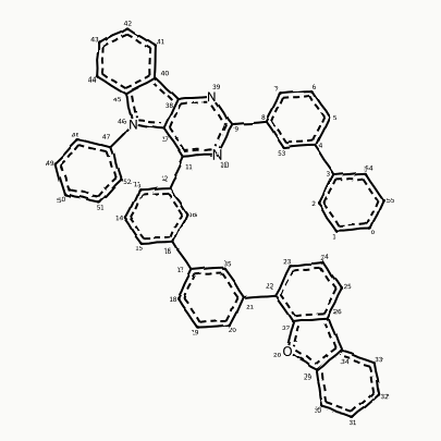 c1ccc(-c2cccc(-c3nc(-c4cccc(-c5cccc(-c6cccc7c6oc6ccccc67)c5)c4)c4c(n3)c3ccccc3n4-c3ccccc3)c2)cc1